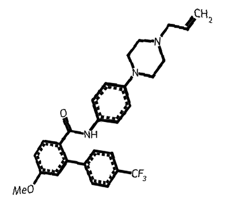 C=CCN1CCN(c2ccc(NC(=O)c3ccc(OC)cc3-c3ccc(C(F)(F)F)cc3)cc2)CC1